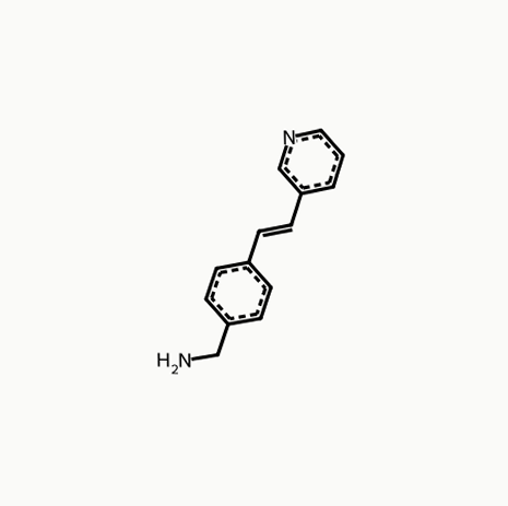 NCc1ccc(C=Cc2cccnc2)cc1